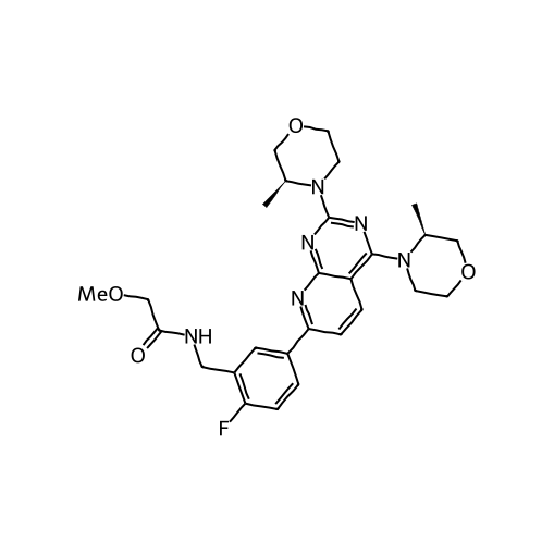 COCC(=O)NCc1cc(-c2ccc3c(N4CCOC[C@@H]4C)nc(N4CCOC[C@@H]4C)nc3n2)ccc1F